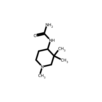 CN1CCC(NC(N)=O)C(C)(C)C1